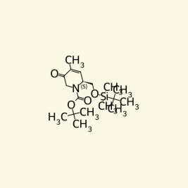 CC1=C[C@@H](CO[Si](C)(C)C(C)(C)C)N(C(=O)OC(C)(C)C)CC1=O